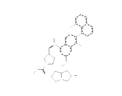 C/[N+](=C/C1CCN(C(=O)OC(C)(C)C)C1)c1nc(OC[C@@]23CCCN2C[C@H](F)C3)nc2c(F)c(-c3cccc4cccc(Cl)c34)ncc12